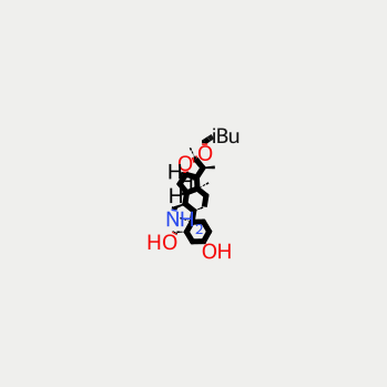 CCC(C)CO[C@]1(C)O[C@H]2C[C@H]3[C@H](CN)[C@@H]([C@@]4(C)CC[C@H](O)C[C@@H]4CO)CC[C@]3(C)[C@H]2[C@@H]1C